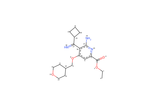 CCOC(=O)c1cc(OCC2CCOCC2)c(C(=N)C2CCC2)c(N)n1